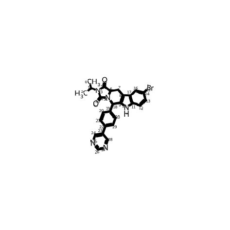 CC(C)N1C(=O)C2Cc3c([nH]c4ccc(Br)cc34)C(c3ccc(-c4cncnc4)cc3)N2C1=O